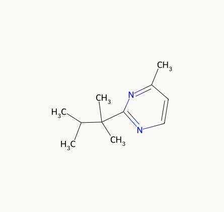 Cc1ccnc(C(C)(C)C(C)C)n1